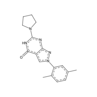 Cc1ccc(C)c(-n2cc3c(=O)[nH]c(N4CCCC4)nc3n2)c1